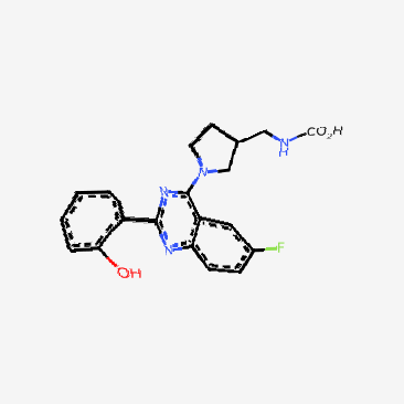 O=C(O)NCC1CCN(c2nc(-c3ccccc3O)nc3ccc(F)cc23)C1